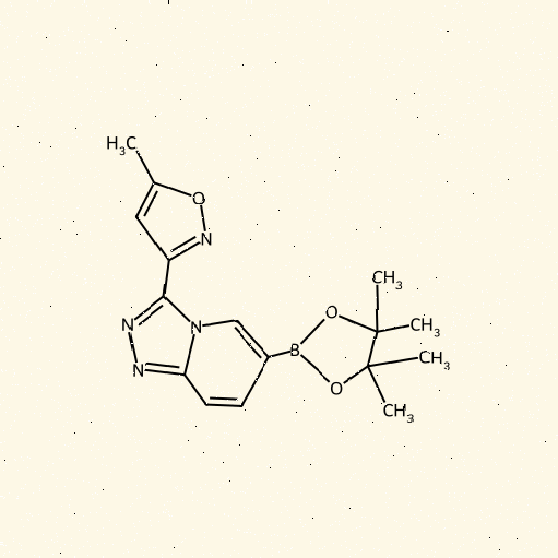 Cc1cc(-c2nnc3ccc(B4OC(C)(C)C(C)(C)O4)cn23)no1